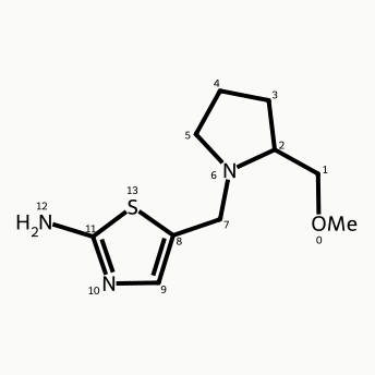 COCC1CCCN1Cc1cnc(N)s1